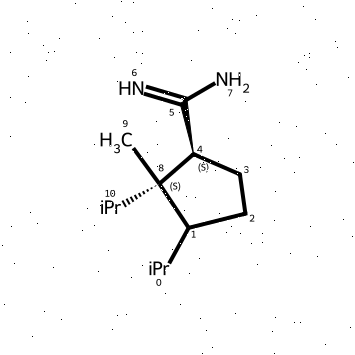 CC(C)C1CC[C@H](C(=N)N)[C@@]1(C)C(C)C